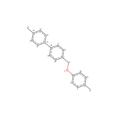 Cc1ccc(OCc2ccc(-c3ccc(C)cc3)cc2)cc1